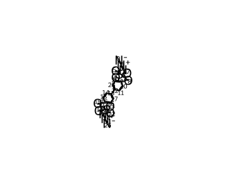 [N-]=[N+]=NS(=O)(=O)S(=O)(=O)c1ccc(-c2ccc(S(=O)(=O)S(=O)(=O)N=[N+]=[N-])cc2)cc1